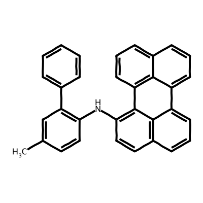 Cc1ccc(Nc2ccc3cccc4c5cccc6cccc(c2c34)c65)c(-c2ccccc2)c1